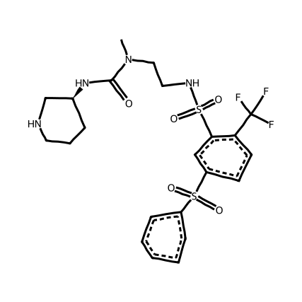 CN(CCNS(=O)(=O)c1cc(S(=O)(=O)c2ccccc2)ccc1C(F)(F)F)C(=O)N[C@H]1CCCNC1